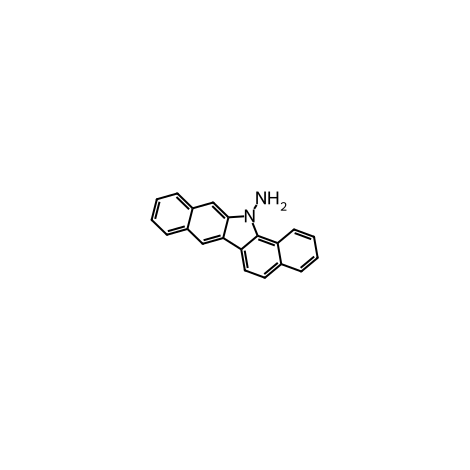 Nn1c2cc3ccccc3cc2c2ccc3ccccc3c21